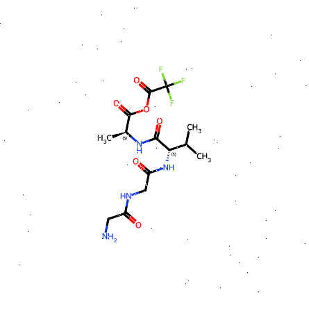 CC(C)[C@H](NC(=O)CNC(=O)CN)C(=O)N[C@@H](C)C(=O)OC(=O)C(F)(F)F